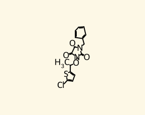 CC(ON1C(=O)C(=O)N(Cc2ccccc2)C1=O)c1ccc(Cl)s1